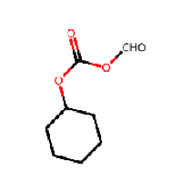 O=COC(=O)OC1CCCCC1